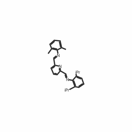 Cc1cccc(C)c1N=Cc1cccc(C=Nc2c(C(C)C)cccc2C(C)C)n1